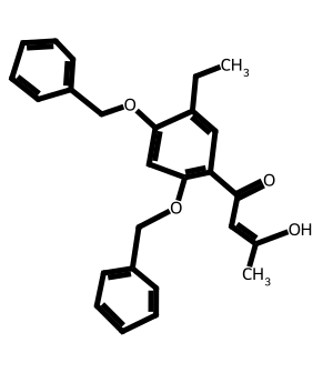 CCc1cc(C(=O)C=C(C)O)c(OCc2ccccc2)cc1OCc1ccccc1